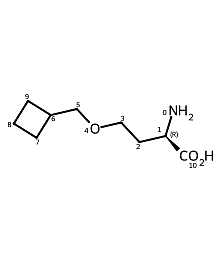 N[C@H](CCOCC1CCC1)C(=O)O